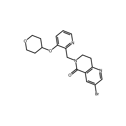 O=C1c2cc(Br)cnc2CCN1Cc1ncccc1OC1CCOCC1